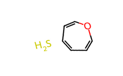 C1=CC=COC=C1.S